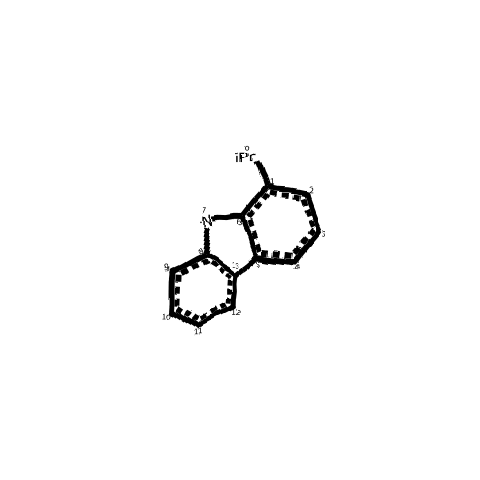 CC(C)c1cccc2c1[N]c1ccccc1-2